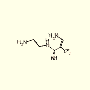 N=C(NCCN)/C(=C\N)C(F)(F)F